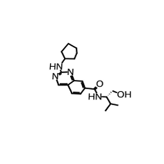 CC(C)[C@@H](CO)NC(=O)c1ccc2cnc(NC3CCCCC3)nc2c1